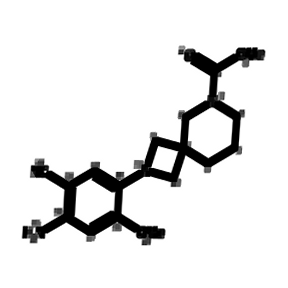 COC(=O)N1CCCC2(C1)CN(c1cc(C#N)c(N)cc1OC)C2